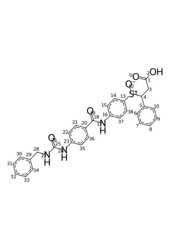 O=C(O)CC(c1ccccc1)[S+]([O-])c1ccc(NC(=O)c2ccc(NC(=O)NCc3ccccc3)cc2)cc1